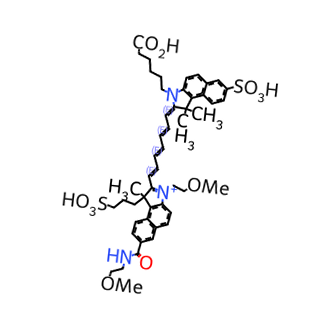 COCCNC(=O)c1ccc2c3c(ccc2c1)[N+](CCOC)=C(/C=C/C=C/C=C/C=C1/N(CCCCCC(=O)O)c2ccc4cc(S(=O)(=O)O)ccc4c2C1(C)C)C3(C)CCCS(=O)(=O)O